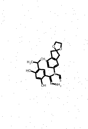 CC(C)c1cc(/C(=N/N)N(C=S)c2ccc3c(c2)CC2(C3)OCCO2)c(O)cc1O